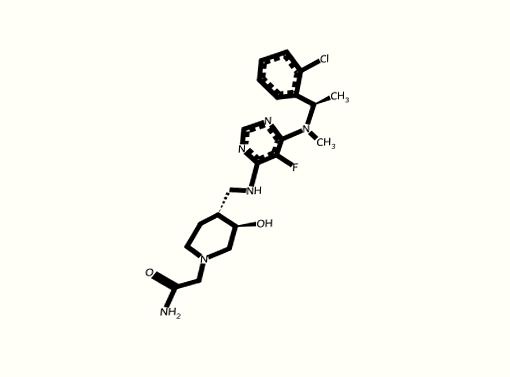 C[C@H](c1ccccc1Cl)N(C)c1ncnc(NC[C@H]2CCN(CC(N)=O)C[C@@H]2O)c1F